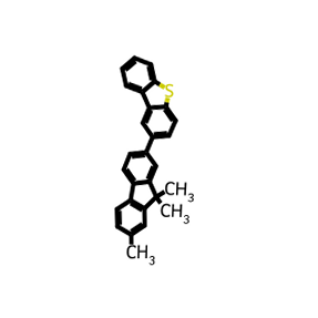 Cc1ccc2c(c1)C(C)(C)c1cc(-c3ccc4sc5ccccc5c4c3)ccc1-2